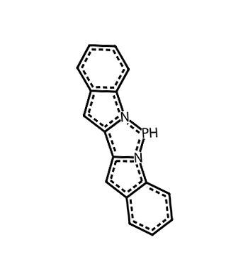 c1ccc2c(c1)cc1c3cc4ccccc4n3[pH]n21